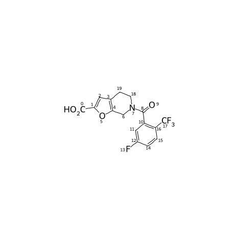 O=C(O)c1cc2c(o1)CN(C(=O)c1cc(F)ccc1C(F)(F)F)CC2